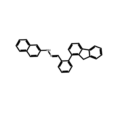 C(=NNc1ccc2ccccc2c1)c1ccccc1-c1cccc2c1Cc1ccccc1-2